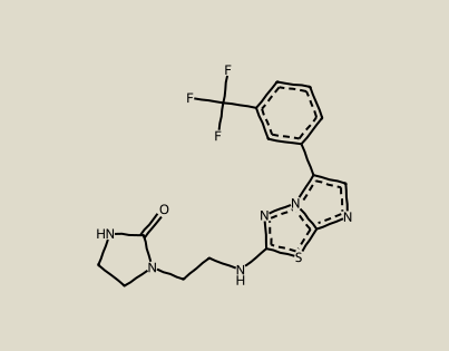 O=C1NCCN1CCNc1nn2c(-c3cccc(C(F)(F)F)c3)cnc2s1